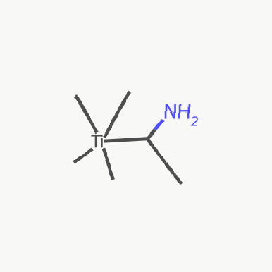 C[CH](N)[Ti]([CH3])([CH3])([CH3])[CH3]